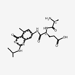 Cc1cc(NC(=O)[C@H](CCC(=O)O)NC(=O)[C@H](C)N)cc2nc(NC(C)C)oc(=O)c12